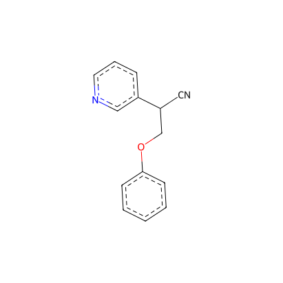 N#CC(COc1ccccc1)c1cccnc1